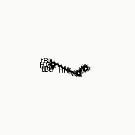 CC(C)(C)c1cc(CCCCCNCCCOc2cccc(CN3CCCCC3)c2)cc(C(C)(C)C)c1O